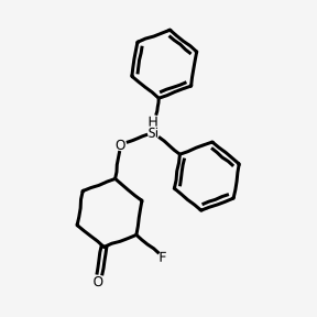 O=C1CCC(O[SiH](c2ccccc2)c2ccccc2)CC1F